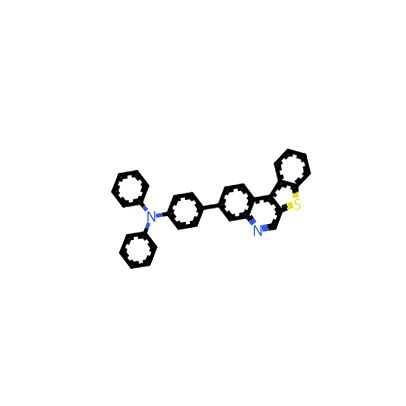 c1ccc(N(c2ccccc2)c2ccc(-c3ccc4c(c3)ncc3sc5ccccc5c34)cc2)cc1